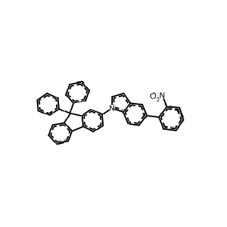 O=[N+]([O-])c1ccccc1-c1ccc2c(ccn2-c2ccc3c(c2)C(c2ccccc2)(c2ccccc2)c2ccccc2-3)c1